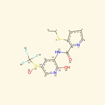 CCSc1cccnc1C(=O)Nc1cc([S+]([O-])C(F)(F)F)cnc1O